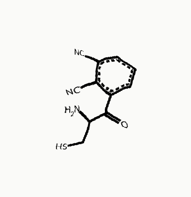 N#Cc1cccc(C(=O)C(N)CS)c1C#N